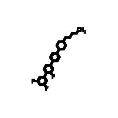 CCCCCC1CCC(c2ccc(-c3ccc(-c4cc(F)cc(F)c4)c(F)c3)cc2)CC1